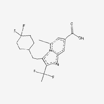 Cc1cc(C(=O)O)cc2nc(C(C)(F)F)c(CC3CCC(F)(F)CC3)n12